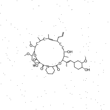 C=CCC1/C=C(\C)CC(C)CC(OC)C2OC(=O)C(O)(C(=O)N3CCCCC3C(=O)OC(C(C)=CC3CCC(O)C(OC)C3)C(C)C(O)CC1)C(C)CC2OC